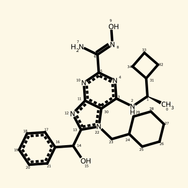 C[C@@H](Nc1nc(/C(N)=N/O)nc2nc(C(O)c3ccccc3)n(CC3CCCCC3)c12)C1CCC1